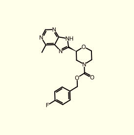 Cc1ncnc2[nH]c([C@@H]3CN(C(=O)OCc4ccc(F)cc4)CCO3)nc12